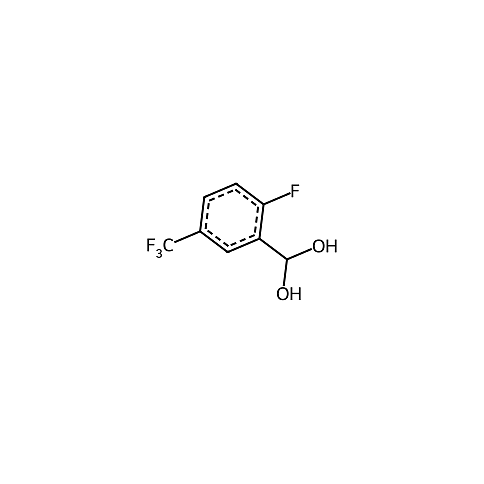 OC(O)c1cc(C(F)(F)F)ccc1F